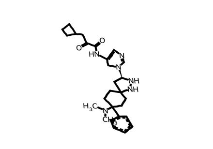 CN(C)C1(c2ccccc2)CCC2(CC1)C[C@@H](N1C=NC=C(NC(=O)C(=O)CC3CCC3)C1)NN2